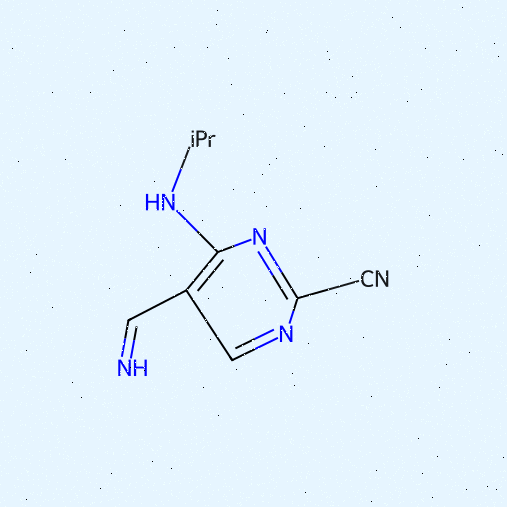 CC(C)Nc1nc(C#N)ncc1C=N